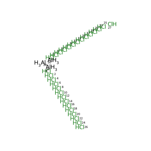 Cl.Cl.Cl.Cl.Cl.Cl.Cl.Cl.Cl.Cl.Cl.Cl.Cl.Cl.Cl.Cl.Cl.Cl.Cl.Cl.Cl.Cl.Cl.Cl.Cl.Cl.Cl.Cl.[AlH3].[AlH3].[AlH3]